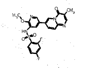 COc1ncc(-c2ccc3ncc(C)c(=O)n3c2)cc1NS(=O)(=O)c1ccc(F)cc1F